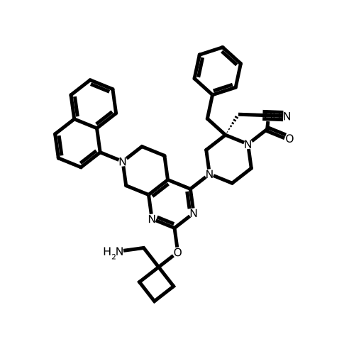 N#CC[C@@]1(Cc2ccccc2)CN(c2nc(OC3(CN)CCC3)nc3c2CCN(c2cccc4ccccc24)C3)CCN1C(=O)O